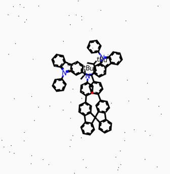 CC(CC(c1ccc(-c2ccc3c(c2)C2(c4ccccc4-3)c3ccccc3-c3ccc(-c4ccc(N(c5ccc6c7ccccc7n(-c7ccccc7)c6c5)c5ccc6c7ccccc7n(-c7ccccc7)c6c5)cc4)cc32)cc1)C(C)C(C)(C)C)C(C)(C)C